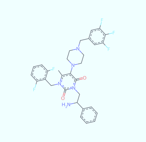 Cc1c(N2CCN(Cc3cc(F)c(F)c(F)c3)CC2)c(=O)n(CC(N)c2ccccc2)c(=O)n1Cc1c(F)cccc1F